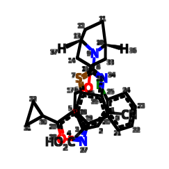 N#Cc1cc(C(=O)O)cc2sc(N3[C@@H]4CC[C@H]3CC(OCc3c(-c5ccccc5F)noc3C3CC3)C4)nc12